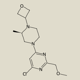 COCc1nc(Cl)cc(N2CCN(C3COC3)[C@H](C)C2)n1